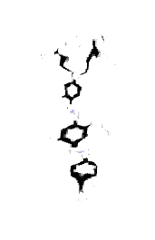 C=C(CCN(CCC(=C)C(=O)O)c1ccc(/N=N/c2cc(OCC)c(/N=N/c3ccc([N+](=O)[O-])cc3)cc2OCC)c(C)c1)C(=O)O